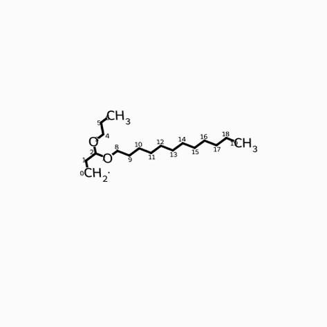 [CH2]CC(OCCC)OCCCCCCCCCCCC